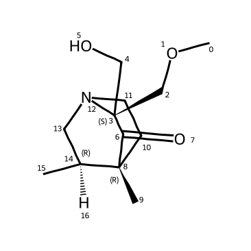 COC[C@@]1(CO)C(=O)[C@]2(C)CCN1C[C@@H]2C